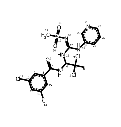 CC(Cl)(Cl)C(NC(=O)c1cc(Cl)cc(Cl)c1)N/C(=N\S(=O)(=O)C(F)(F)F)Nc1cccnc1